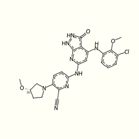 COc1c(Cl)cccc1Nc1cc(Nc2ccc(N3CC[C@H](OC)C3)c(C#N)n2)nc2[nH][nH]c(=O)c12